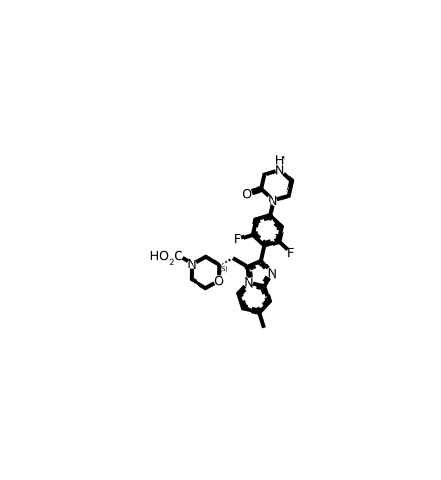 Cc1ccn2c(C[C@H]3CN(C(=O)O)CCO3)c(-c3c(F)cc(N4CCNCC4=O)cc3F)nc2c1